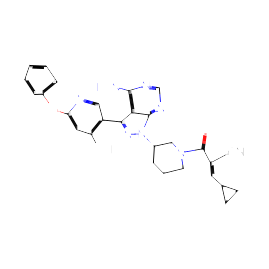 Cc1cc(Oc2ccccc2)ncc1-c1nn([C@@H]2CCCN(C(=O)C(C#N)=CC3CC3)C2)c2ncnc(N)c12